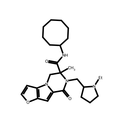 CCN1CCCC1CN1C(=O)c2cc3occc3n2CC1(C)C(=O)NC1CCCCCCC1